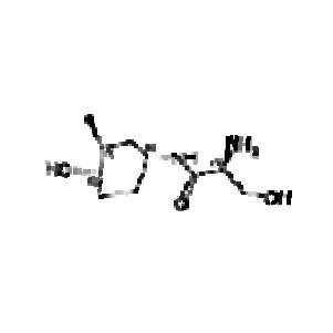 C[C@H]1C[C@H](NC(=O)[C@@H](N)CO)CC[C@@H]1O